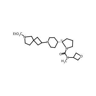 CCOC(=O)N1CCC2(CC(N3CCC([C@@H]4CCCN4C(=O)N(C)C4COC4)CC3)C2)C1